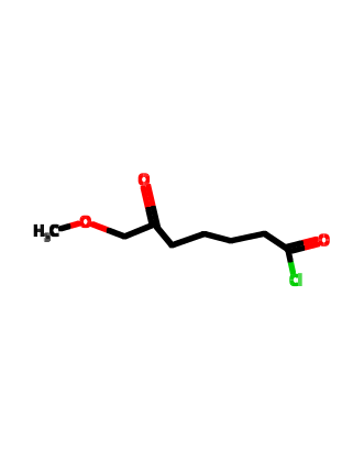 COCC(=O)CCCCC(=O)Cl